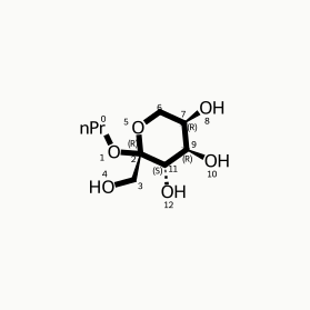 CCCO[C@]1(CO)OC[C@@H](O)[C@@H](O)[C@@H]1O